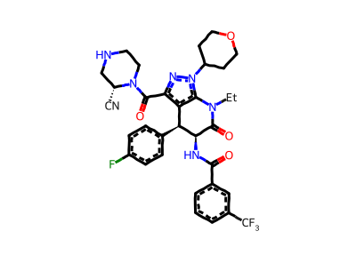 CCN1C(=O)[C@@H](NC(=O)c2cccc(C(F)(F)F)c2)[C@@H](c2ccc(F)cc2)c2c(C(=O)N3CCNC[C@H]3C#N)nn(C3CCOCC3)c21